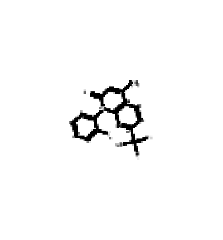 Nc1cc(=O)n(-c2ccccc2Cl)c2nc(C(F)(F)F)ccc12